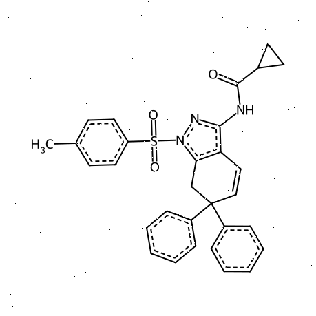 Cc1ccc(S(=O)(=O)n2nc(NC(=O)C3CC3)c3c2CC(c2ccccc2)(c2ccccc2)C=C3)cc1